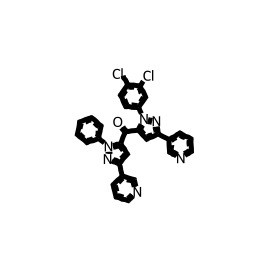 O=C(c1cc(-c2cccnc2)nn1-c1ccccc1)c1cc(-c2cccnc2)nn1-c1ccc(Cl)c(Cl)c1